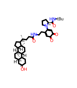 C[C@H](CCC(=O)NCCC1=CC(=O)C(=O)C=C1N1CCC[C@H]1C(=O)NC(C)(C)C)C1CC[C@H]2[C@@H]3CC[C@@H]4C[C@H](O)CC[C@]4(C)[C@H]3CC[C@]12C